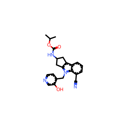 CC(C)OC(=O)NC1Cc2c(n(Cc3ccncc3O)c3c(C#N)cccc23)C1